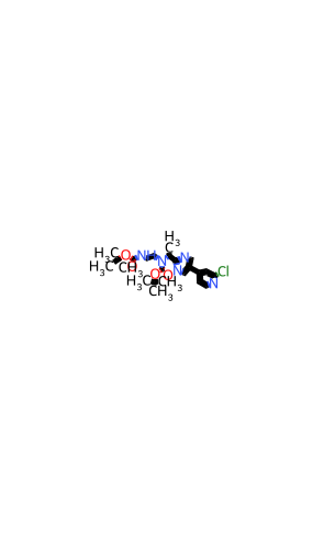 CC(c1ncc(-c2ccnc(Cl)c2)cn1)N(CCNC(=O)OC(C)(C)C)C(=O)OC(C)(C)C